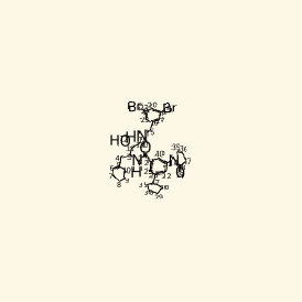 O=C(N[C@@H](Cc1ccccc1)[C@H](O)CNCc1cc(Br)cc(Br)c1)c1cc(C2CCCC2)cc(N2CCCC2=O)c1